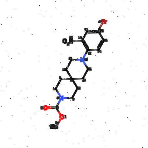 CC(C)(C)OC(=O)N1CCC2(CC1)CCN(c1ccc(Br)cc1[N+](=O)[O-])CC2